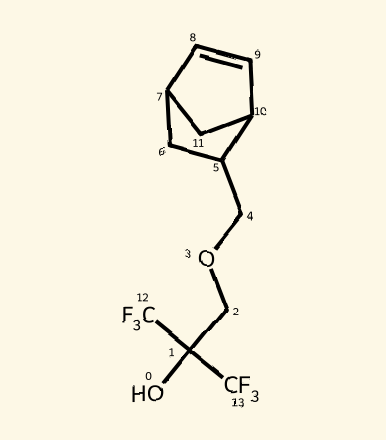 OC(COCC1CC2C=CC1C2)(C(F)(F)F)C(F)(F)F